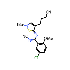 COc1ccc(Cl)cc1C(=NC#N)/N=c1\sn(C(C)(C)C)cc1CCCC#N